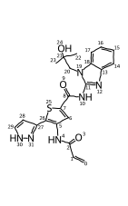 C=CC(=O)Nc1cc(C(=O)Nc2nc3ccccc3n2CC(C)(C)O)sc1-c1cc[nH]n1